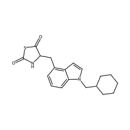 O=C1NC(Cc2cccc3c2ccn3CC2CCCCC2)C(=O)S1